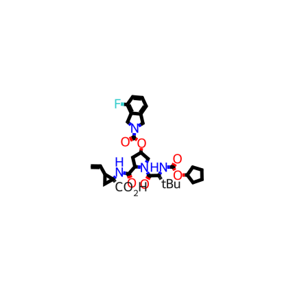 C=CC1CC1(NC(=O)C1CC(OC(=O)N2Cc3cccc(F)c3C2)CN1C(=O)C(NC(=O)OC1CCCC1)C(C)(C)C)C(=O)O